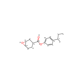 CCC(C)c1ccc(OC(=O)C2CCC3OC3C2)cc1